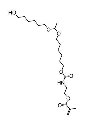 C=C(C)C(=O)OCCNC(=O)OCCCCCCOC(C)OCCCCCCO